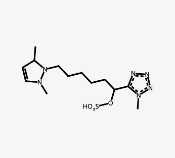 CC1C=CN(C)N1CCCCCC(OS(=O)(=O)O)c1nnnn1C